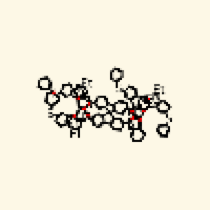 CCn1c2ccc(Sc3ccccc3)cc2c2cc(N(c3ccccc3)c3ccc4c(c3)C3(c5cc(N(c6ccccc6)c6ccc7c(c6)c6cc(Sc8ccccc8)ccc6n7CC)ccc5-4)c4cc(N(c5ccccc5)c5ccc6c(c5)c5cc(Sc7ccccc7)ccc5n6CC)ccc4-c4ccc(N(c5ccccc5)c5ccc6c(c5)c5cc(Sc7ccccc7)ccc5n6CC)cc43)ccc21